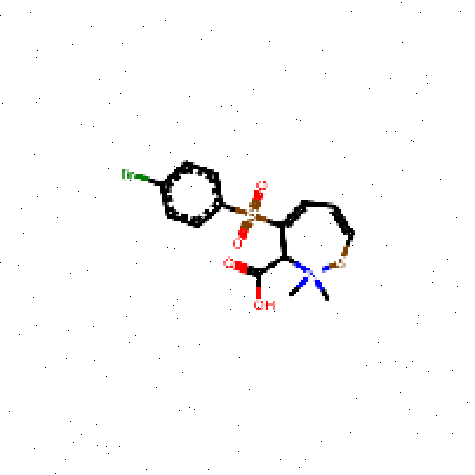 C[N+]1(C)SC=CC=C(S(=O)(=O)c2ccc(Br)cc2)C1C(=O)O